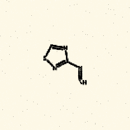 N=Nc1ncsn1